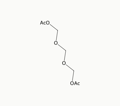 CC(=O)OCOCOCOC(C)=O